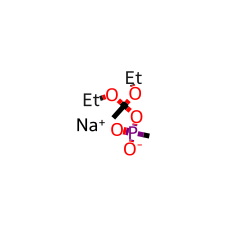 CCOC(C)(OCC)OP(C)(=O)[O-].[Na+]